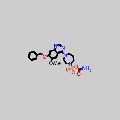 COc1cc2c(N3CCCN(S(=O)(=O)OC(N)=O)CC3)ncnc2cc1OCc1ccccc1